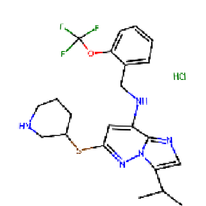 CC(C)c1cnc2c(NCc3ccccc3OC(F)(F)F)cc(SC3CCCNC3)nn12.Cl